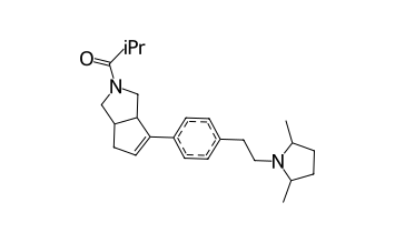 CC(C)C(=O)N1CC2CC=C(c3ccc(CCN4C(C)CCC4C)cc3)C2C1